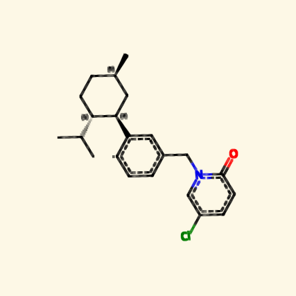 CC(C)[C@@H]1CC[C@@H](C)C[C@H]1c1[c]ccc(Cn2cc(Cl)ccc2=O)c1